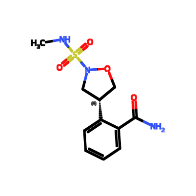 CNS(=O)(=O)N1C[C@@H](c2ccccc2C(N)=O)CO1